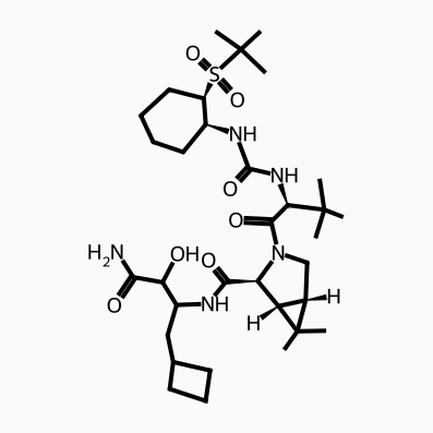 CC(C)(C)[C@H](NC(=O)N[C@H]1CCCC[C@H]1S(=O)(=O)C(C)(C)C)C(=O)N1C[C@H]2[C@@H]([C@H]1C(=O)NC(CC1CCC1)C(O)C(N)=O)C2(C)C